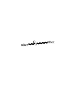 CCCCCCCCCCCCCCCCCCOC(=O)CCCCCCCCCCCCCC